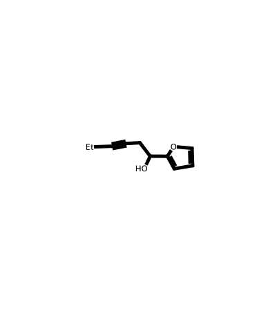 CCC#CCC(O)c1ccco1